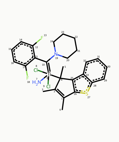 CC1=C(C)[C](C)([Ti]([NH2])([Cl])([Cl])=[C](c2c(F)cccc2F)N2CCCCC2)c2c1sc1ccccc21